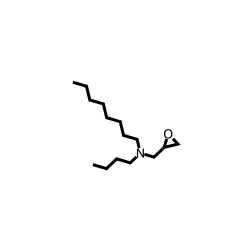 CCCCCCCCN(CCCC)CC1CO1